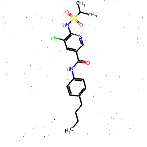 CCCCc1ccc(NC(=O)c2cnc(NS(=O)(=O)C(C)C)c(Cl)c2)cc1